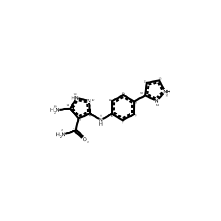 NC(=O)c1c(Nc2ccc(-c3cc[nH]n3)cc2)n[nH]c1N